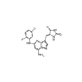 Nc1cc(Nc2cc(Cl)ccc2F)nc2c(/C=C3\NC(=O)NC3=O)cnn12